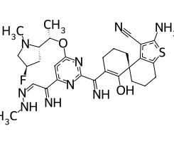 CN/N=C\C(=N)c1cc(O[C@@H](C)[C@@H]2C[C@@H](F)CN2C)nc(C(=N)C2=C(O)[C@@]3(CCC2)CCCc2sc(N)c(C#N)c23)n1